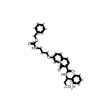 O=C(O)CC(NC(=O)c1ccc2ccc(OCCCNC(=O)OCc3ccccc3)cn2c1=O)c1ccccc1